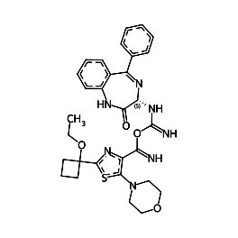 CCOC1(c2nc(C(=N)OC(=N)N[C@H]3N=C(c4ccccc4)c4ccccc4NC3=O)c(N3CCOCC3)s2)CCC1